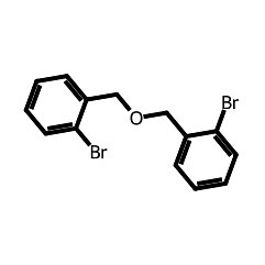 Brc1ccccc1COCc1ccccc1Br